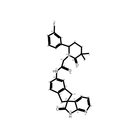 CC1(C)CCC(c2cccc(F)c2)N(CC(=O)Nc2ccc3c(c2)CC2(C3)C(=O)Nc3ncccc32)C1=O